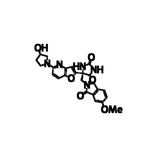 COc1ccc2c(c1)C(=O)N(C[C@@]1(c3cc4nc(N5CC[C@@H](O)C5)ccc4o3)NC(=O)NC1=O)C2